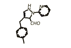 Cc1ccc(CC2=CNN(c3ccccn3)C2C=O)cc1